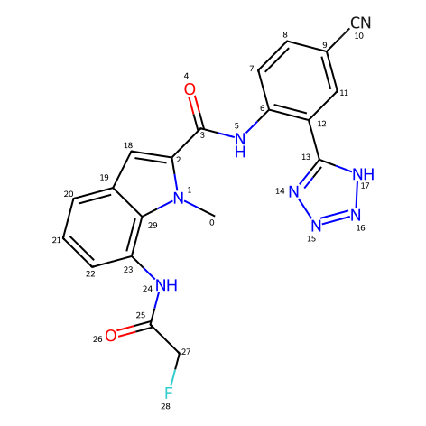 Cn1c(C(=O)Nc2ccc(C#N)cc2-c2nnn[nH]2)cc2cccc(NC(=O)CF)c21